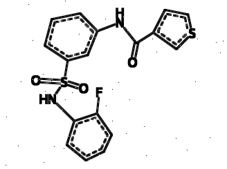 O=C(Nc1cccc(S(=O)(=O)Nc2ccccc2F)c1)c1ccsc1